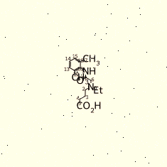 CCN(CCCC(=O)O)CC(=O)Nc1c(C)cccc1C